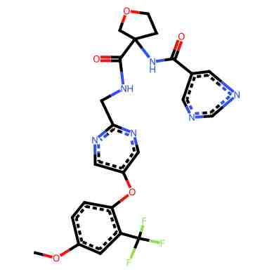 COc1ccc(Oc2cnc(CNC(=O)C3(NC(=O)c4cncnc4)CCOC3)nc2)c(C(F)(F)F)c1